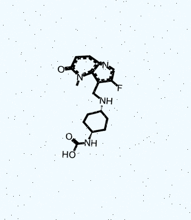 Cn1c(=O)ccc2ncc(F)c(CN[C@H]3CC[C@H](NC(=O)O)CC3)c21